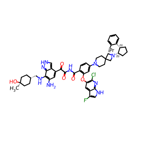 CC(C)c1ccccc1[C@@H]1CCC[C@@H]1N1CC2(CCN(c3ccc(C(=O)NC(=O)C(=O)c4cc(N)c(NC[C@H]5CC[C@](C)(O)CC5)c5n[nH]cc45)c(Oc4cc5c(F)c[nH]c5nc4Cl)c3)CC2)C1